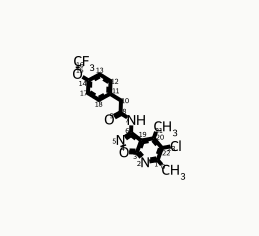 Cc1nc2onc(NC(=O)Cc3ccc(OC(F)(F)F)cc3)c2c(C)c1Cl